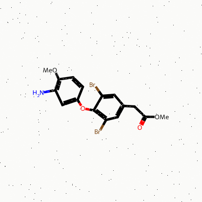 COC(=O)Cc1cc(Br)c(Oc2ccc(OC)c(N)c2)c(Br)c1